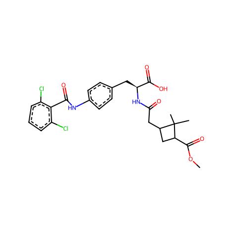 COC(=O)C1CC(CC(=O)N[C@@H](Cc2ccc(NC(=O)c3c(Cl)cccc3Cl)cc2)C(=O)O)C1(C)C